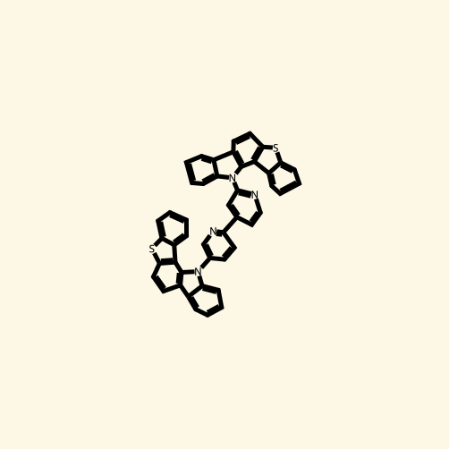 c1ccc2c(c1)sc1ccc3c4ccccc4n(-c4ccc(-c5ccnc(-n6c7ccccc7c7ccc8sc9ccccc9c8c76)c5)nc4)c3c12